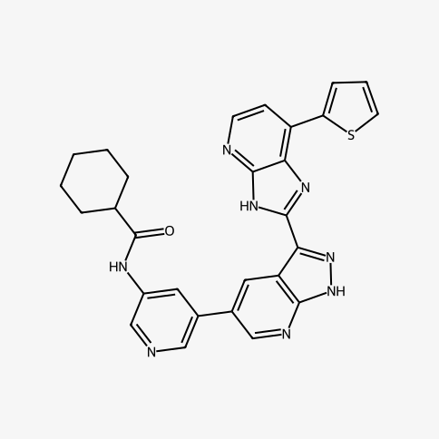 O=C(Nc1cncc(-c2cnc3[nH]nc(-c4nc5c(-c6cccs6)ccnc5[nH]4)c3c2)c1)C1CCCCC1